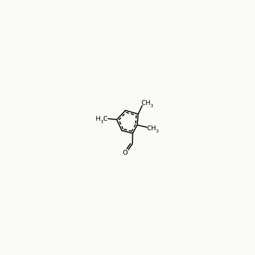 Cc1cc(C)c(C)c(C=O)c1